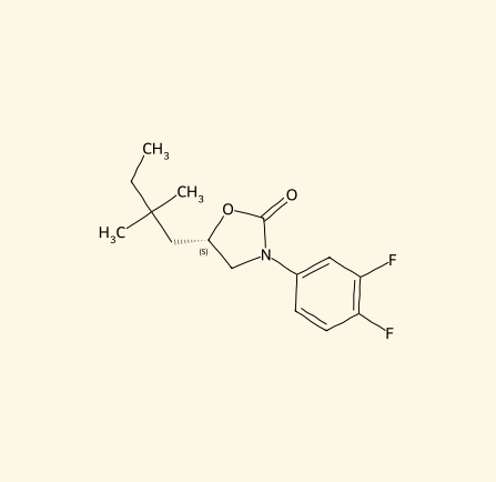 CCC(C)(C)C[C@H]1CN(c2ccc(F)c(F)c2)C(=O)O1